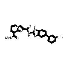 CNC(=O)c1cccn2cc(C(=O)Nc3nc4cc(-c5cccc(C(F)(F)F)c5)ccc4[nH]3)nc12